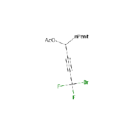 CCCCCC(C#CC(F)(F)Br)OC(C)=O